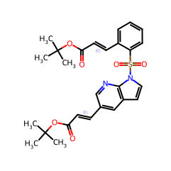 CC(C)(C)OC(=O)/C=C/c1cnc2c(ccn2S(=O)(=O)c2ccccc2/C=C/C(=O)OC(C)(C)C)c1